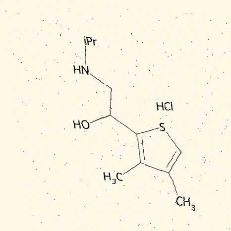 Cc1csc(C(O)CNC(C)C)c1C.Cl